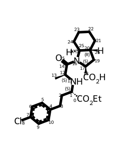 CCOC(=O)[C@H](CCc1ccc(Cl)cc1)N[C@@H](C)C(=O)N1[C@H](C(=O)O)C[C@H]2CCCC[C@@H]21